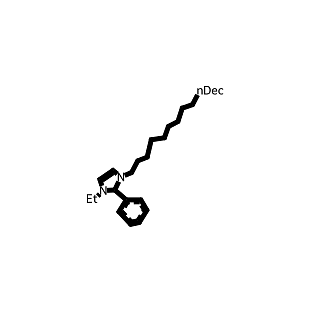 CCCCCCCCCCCCCCCCCCCN1C=CN(CC)C1c1ccccc1